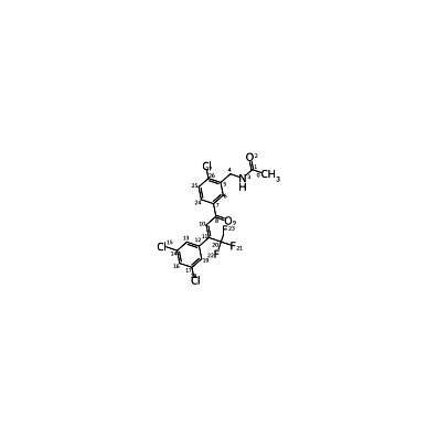 CC(=O)NCc1cc(C(=O)C=C(c2cc(Cl)cc(Cl)c2)C(F)(F)F)ccc1Cl